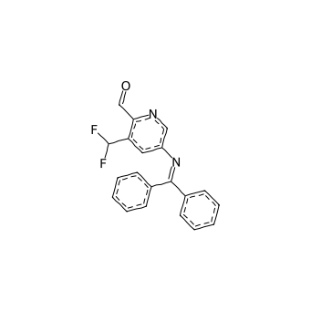 O=Cc1ncc(N=C(c2ccccc2)c2ccccc2)cc1C(F)F